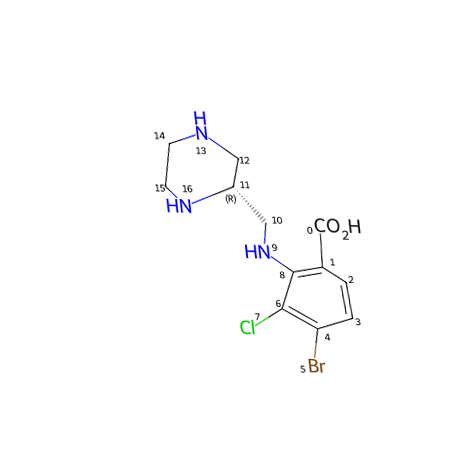 O=C(O)c1ccc(Br)c(Cl)c1NC[C@H]1CNCCN1